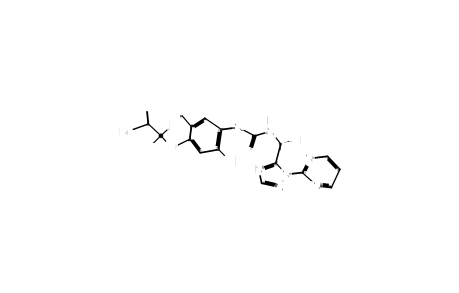 C[C@H](NC(=O)Nc1cc(Cl)c(OC(F)(F)C(F)Br)cc1Cl)c1ncnn1-c1ncccn1